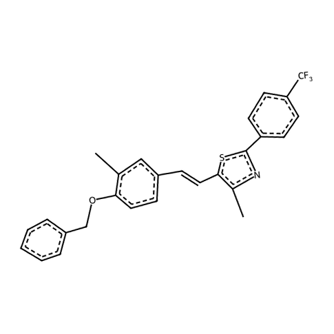 Cc1cc(C=Cc2sc(-c3ccc(C(F)(F)F)cc3)nc2C)ccc1OCc1ccccc1